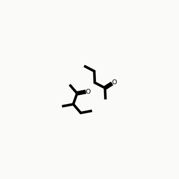 CCC(C)C(C)=O.CCCC(C)=O